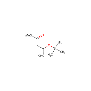 COC(=O)CC(C=O)O[Si](C)(C)C(C)(C)C